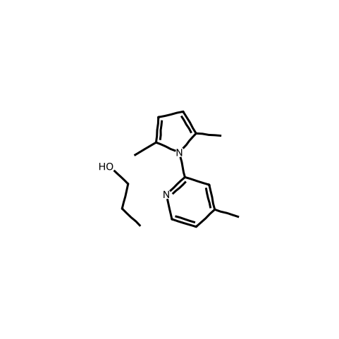 CCCO.Cc1ccnc(-n2c(C)ccc2C)c1